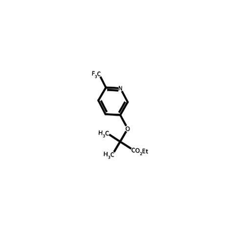 CCOC(=O)C(C)(C)Oc1ccc(C(F)(F)F)nc1